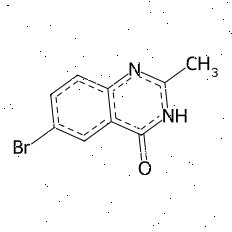 Cc1nc2ccc(Br)cc2c(=O)[nH]1